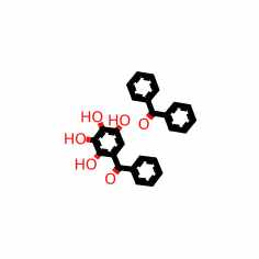 O=C(c1ccccc1)c1cc(O)c(O)c(O)c1O.O=C(c1ccccc1)c1ccccc1